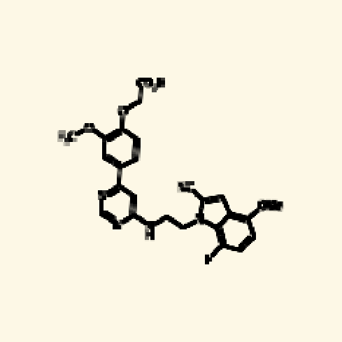 COc1ccc(F)c2c1cc(C#N)n2CCNc1cc(-c2ccc(OCC(=O)O)c(OC(F)(F)F)c2)ncn1